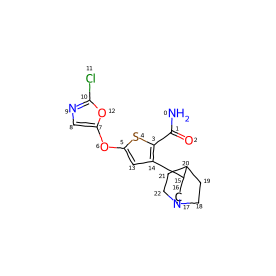 NC(=O)c1sc(Oc2cnc(Cl)o2)cc1C1CN2CCC1CC2